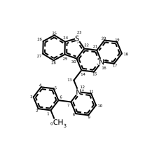 Cc1ccccc1-c1cccc[n+]1Cc1c[n+]2ccccc2c2sc3ccccc3c12